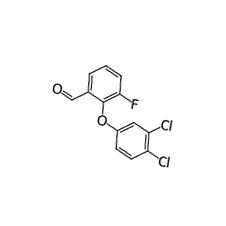 O=Cc1cccc(F)c1Oc1ccc(Cl)c(Cl)c1